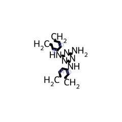 C=C/C=C\C(=C/C=C)Nc1nc(N)nc(NC(/C=C\C=C)=C/C=C)n1